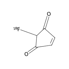 O=C1C=CC(=O)C1[18F]